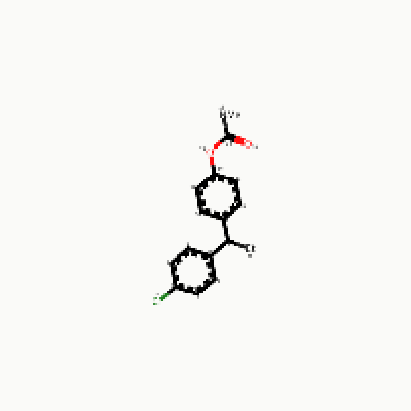 CC[C](c1ccc(Cl)cc1)c1ccc(OC(=O)NC)cc1